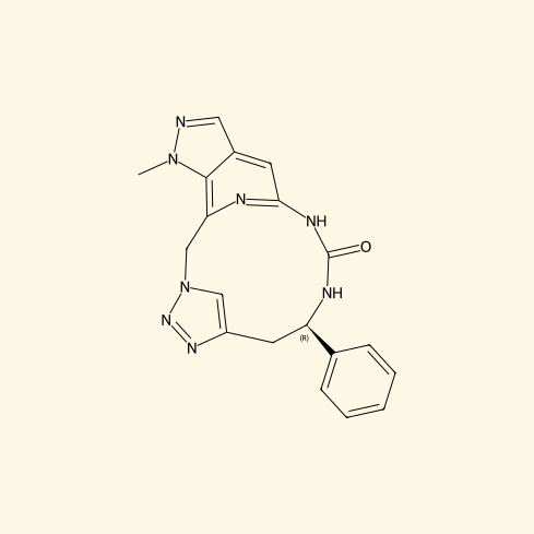 Cn1ncc2cc3nc(c21)Cn1cc(nn1)C[C@H](c1ccccc1)NC(=O)N3